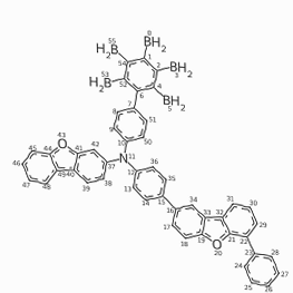 Bc1c(B)c(B)c(-c2ccc(N(c3ccc(-c4ccc5oc6c(-c7ccccc7)cccc6c5c4)cc3)c3ccc4c(c3)oc3ccccc34)cc2)c(B)c1B